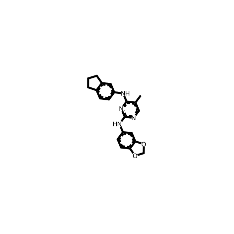 Cc1cnc(Nc2ccc3c(c2)OCO3)nc1Nc1ccc2c(c1)CCC2